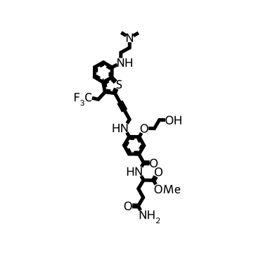 COC(=O)C(CCC(N)=O)NC(=O)c1ccc(NCC#Cc2sc3c(NCCN(C)C)cccc3c2CC(F)(F)F)c(OCCO)c1